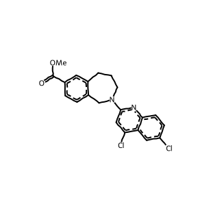 COC(=O)c1ccc2c(c1)CCCN(c1cc(Cl)c3cc(Cl)ccc3n1)C2